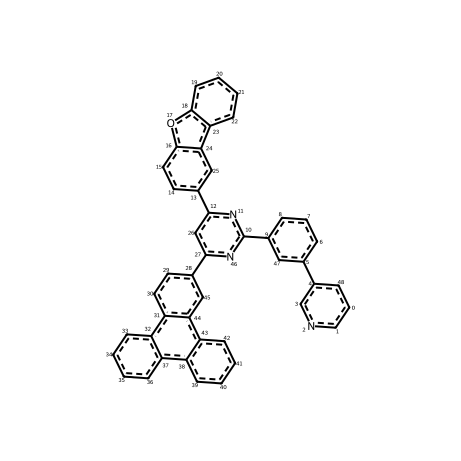 c1cncc(-c2cccc(-c3nc(-c4ccc5oc6ccccc6c5c4)cc(-c4ccc5c6ccccc6c6ccccc6c5c4)n3)c2)c1